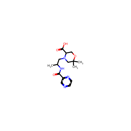 CC(CN1CC(C)(C)OCC1C(=O)O)NC(=O)c1cnccn1